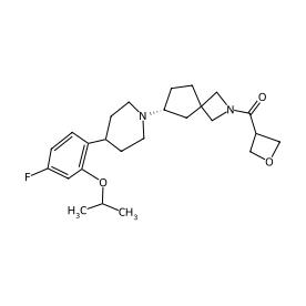 CC(C)Oc1cc(F)ccc1C1CCN([C@@H]2CCC3(C2)CN(C(=O)C2COC2)C3)CC1